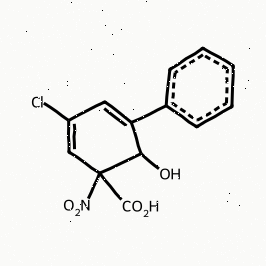 O=C(O)C1([N+](=O)[O-])C=C(Cl)C=C(c2ccccc2)C1O